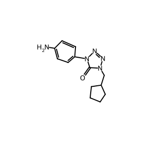 Nc1ccc(-n2nnn(CC3CCCC3)c2=O)cc1